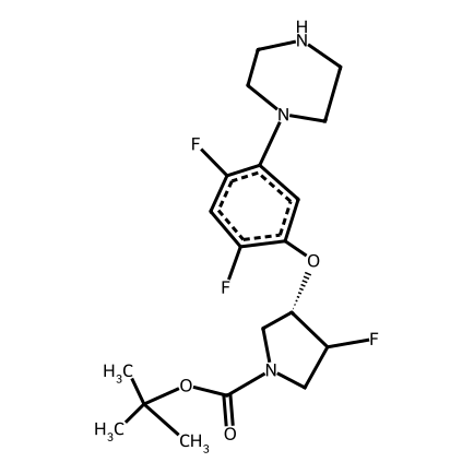 CC(C)(C)OC(=O)N1CC(F)[C@@H](Oc2cc(N3CCNCC3)c(F)cc2F)C1